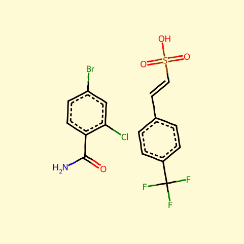 NC(=O)c1ccc(Br)cc1Cl.O=S(=O)(O)C=Cc1ccc(C(F)(F)F)cc1